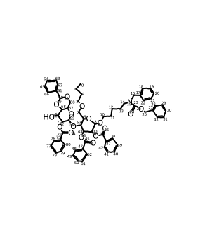 CCCCOCC1OC(OCCCCCN(Cc2ccccc2)C(=O)OCc2ccccc2)C(OC(=O)c2ccccc2)C(OC(=O)c2ccccc2)C1OC1OC2COC(c3ccccc3)OC2C(O)C1OC(=O)c1ccccc1